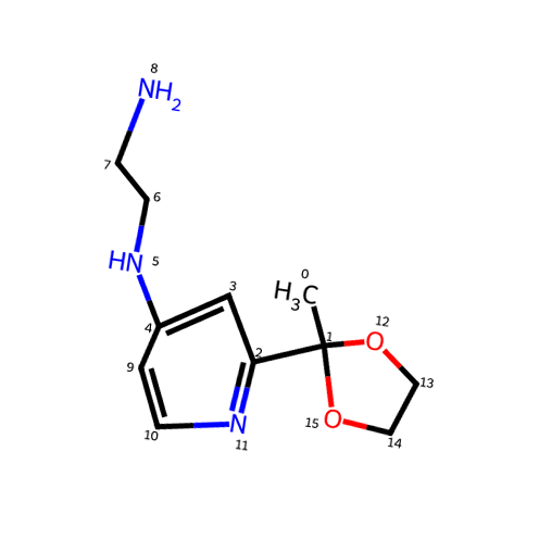 CC1(c2cc(NCCN)ccn2)OCCO1